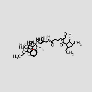 C=CC1CC(C)C(C)C1C(=O)N(C=O)CCCC(=O)NC/C(N)=C/N(N)C(C)(C)C(c1ccccc1)C(C)(S)C(C)(C)C(=O)OCC